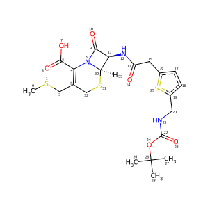 CSCC1=C(C(=O)O)N2C(=O)[C@@H](NC(=O)Cc3ccc(CNC(=O)OC(C)(C)C)s3)[C@H]2SC1